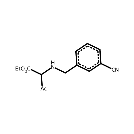 CCOC(=O)C(NCc1cccc(C#N)c1)C(C)=O